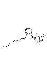 CCCCCCCCCc1ccccc1OP1OC(Cl)C(Cl)(Cl)O1